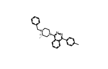 Cc1ccc(-c2nnc(N3CCN(Cc4ccccc4)[C@@H](C)C3)c3ccccc23)cc1